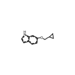 c1cc2ccc(OCC3CC3)cc2[nH]1